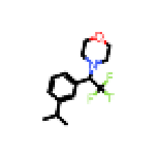 CC(C)c1cccc(C(N2CCOCC2)C(F)(F)F)c1